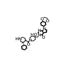 O=C([C@@H]1CCNC[C@H]1c1ccccc1)N1CCC(O)(Cn2cnc3c(ccn3-c3ccc4c(c3)OCCO4)c2=O)CC1